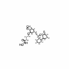 COc1ccc(C=CC(=O)c2ccccc2-c2cccc(F)c2)cc1OCCCC(=O)NO